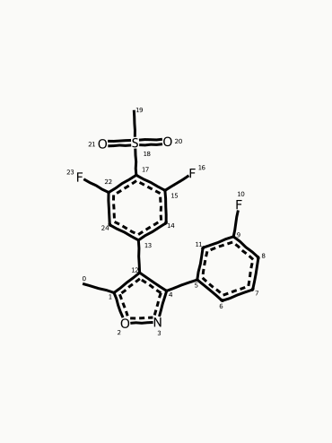 Cc1onc(-c2cccc(F)c2)c1-c1cc(F)c(S(C)(=O)=O)c(F)c1